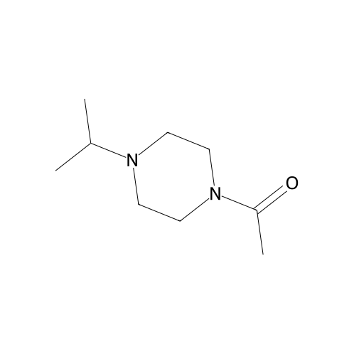 CC(=O)N1CCN(C(C)C)CC1